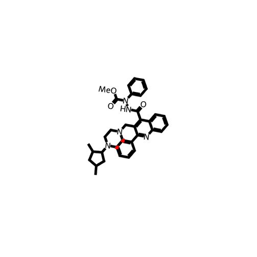 COC(=O)N(NC(=O)c1c(CN2CCN(C3CC(C)CC3C)CC2)c(-c2ccccc2)nc2ccccc12)c1ccccc1